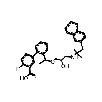 CC(OC[C@H](O)CNC(C)(C)Cc1ccc2ccccc2c1)c1ccccc1-c1ccc(F)c(C(=O)O)c1